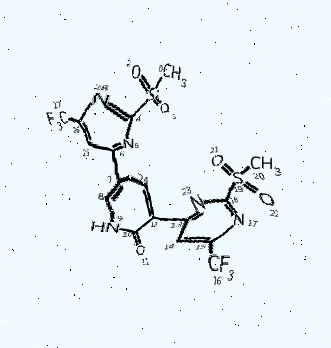 CS(=O)(=O)c1nc(-c2c[nH]c(=O)c(-c3cc(C(F)(F)F)nc(S(C)(=O)=O)n3)c2)cc(C(F)(F)F)n1